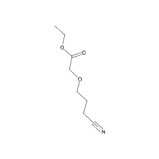 CCOC(=O)COCCCC#N